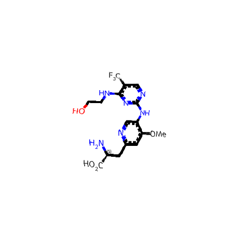 COc1cc(C[C@H](N)C(=O)O)ncc1Nc1ncc(C(F)(F)F)c(NCCO)n1